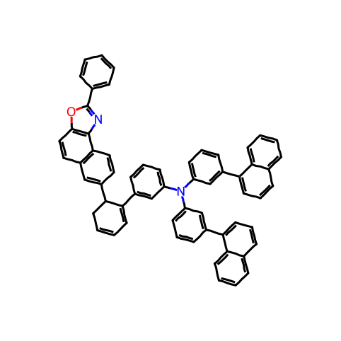 C1=CCC(c2ccc3c(ccc4oc(-c5ccccc5)nc43)c2)C(c2cccc(N(c3cccc(-c4cccc5ccccc45)c3)c3cccc(-c4cccc5ccccc45)c3)c2)=C1